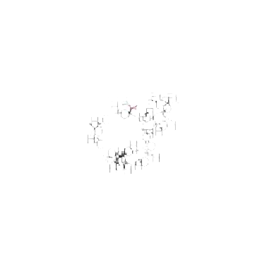 C=C1C[C@@H]2CC[C@@]34C[C@H]5O[C@H]6C(O3)[C@H]3O[C@H](CC[C@@H]3O[C@H]6[C@H]5O4)CC(=O)O[C@@H]3[C@@H](C)[C@@H]4O[C@H](CI)[C@H](O[Si](CC)(CC)CC)C[C@@H]4O[C@H]3C[C@H]3O[C@@H](CC[C@@H]1O2)C[C@@H](C)C3=C